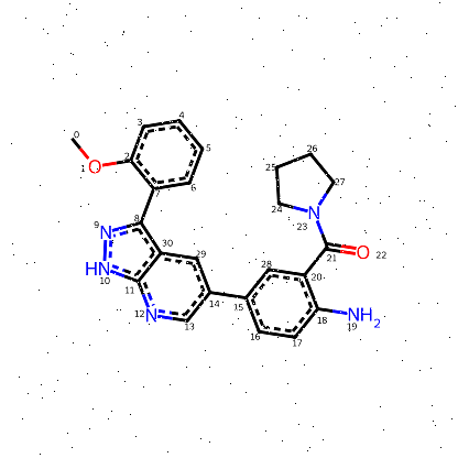 COc1ccccc1-c1n[nH]c2ncc(-c3ccc(N)c(C(=O)N4CCCC4)c3)cc12